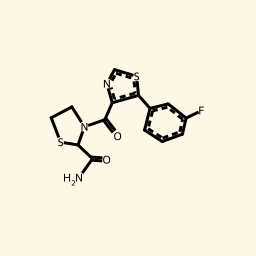 NC(=O)C1SCCN1C(=O)c1ncsc1-c1cccc(F)c1